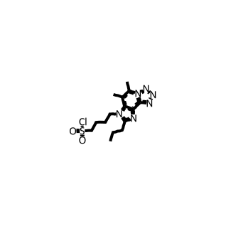 CCCc1nc2c(c(C)c(C)n3nnnc23)n1CCCCS(=O)(=O)Cl